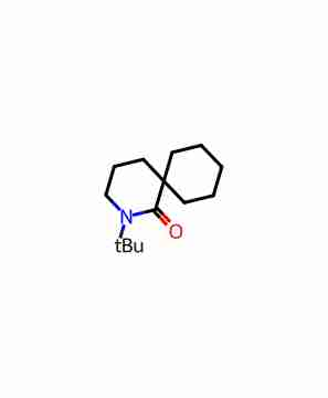 CC(C)(C)N1CCCC2(CCCCC2)C1=O